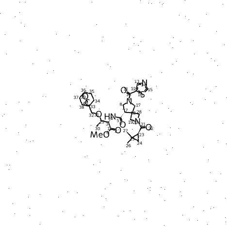 COC(=O)[C@@H](NC(=O)[C@@H]1CN(C(=O)c2cncs2)CC12CN(C(=O)[C@H]1CC1(C)C)C2)[C@@H](C)OCC12CCC(CC1)OC2